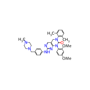 COc1ccc(N2C(=O)N(c3c(C)cccc3C)Cc3cnc(Nc4ccc(CN5CCN(C)CC5)cc4)nc32)c(OC)c1